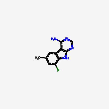 Cc1cc(F)c2[nH]c3ncnc(N)c3c2c1